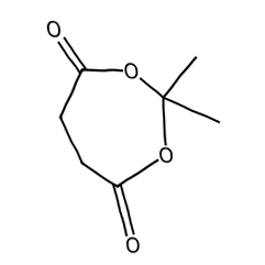 CC1(C)OC(=O)CCC(=O)O1